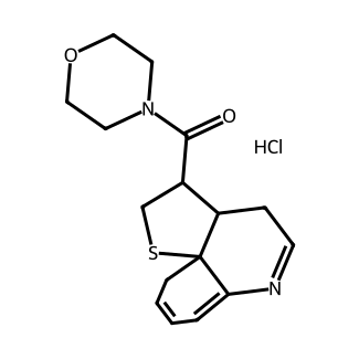 Cl.O=C(C1CSC23CC=CC=C2N=CCC13)N1CCOCC1